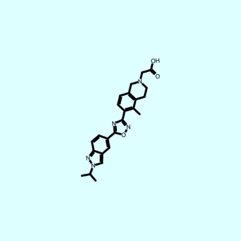 Cc1c(-c2noc(-c3ccc4nn(C(C)C)cc4c3)n2)ccc2c1CCN(CC(=O)O)C2